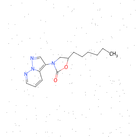 CCCCCCC1CN(c2cnn3ncccc23)C(=O)O1